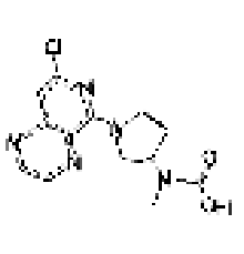 CN(C(=O)O)C1CCN(c2nc(Cl)cc3nccnc23)C1